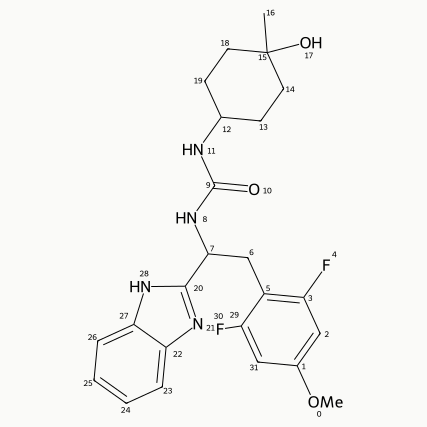 COc1cc(F)c(CC(NC(=O)NC2CCC(C)(O)CC2)c2nc3ccccc3[nH]2)c(F)c1